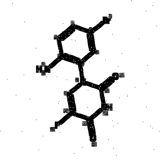 Nc1ccc(Br)cc1-n1cc(F)c(=O)[nH]c1=O